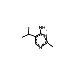 Cc1ncc(C(C)C)c(N)n1